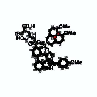 COc1ccc(CN(Cc2ccc(OC)cc2)S(=O)(=O)c2c(S(=O)(=O)N[C@H](CO)CN(C(=O)O)C(C)(C)C)ccc(-c3cccc4[nH]c(N)nc34)c2-c2nnn(Cc3ccc(OC)cc3)n2)cc1